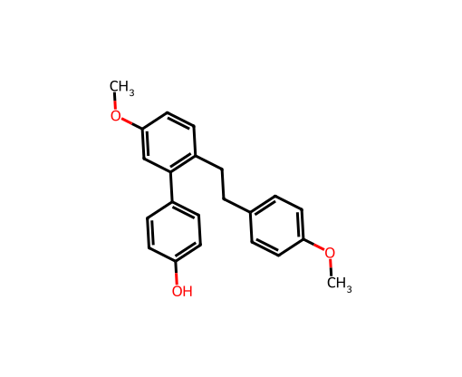 COc1ccc(CCc2ccc(OC)cc2-c2ccc(O)cc2)cc1